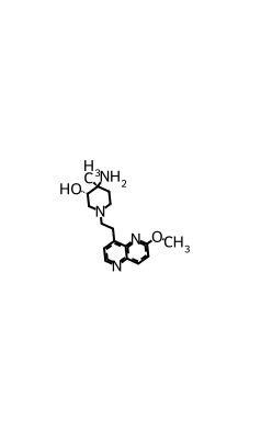 COc1ccc2nccc(CCN3CC[C@@](C)(N)[C@@H](O)C3)c2n1